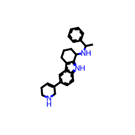 CC(NC1CCCc2c1[nH]c1ccc(C3=CCCNC3)cc21)c1ccccc1